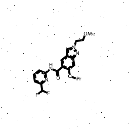 COCCn1cc2cc(C(=O)Nc3cccc(C(F)F)n3)c(OC(C)C)cc2n1